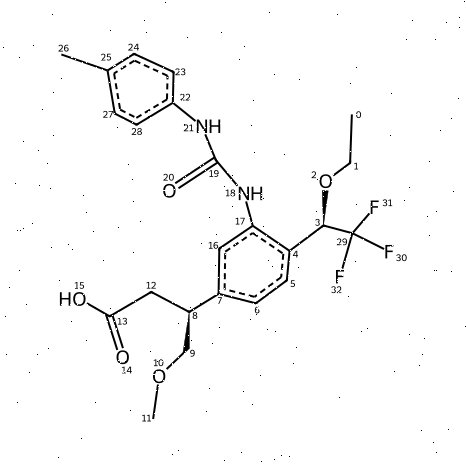 CCO[C@H](c1ccc([C@@H](COC)CC(=O)O)cc1NC(=O)Nc1ccc(C)cc1)C(F)(F)F